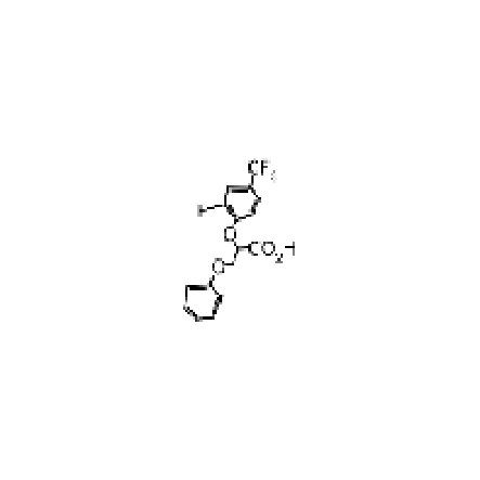 O=C(O)C(COc1ccccc1)Oc1ccc(C(F)(F)F)cc1F